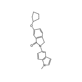 Cn1ccc2cc(N3Cc4ccc(OC5CCCC5)cc4C3=O)ccc21